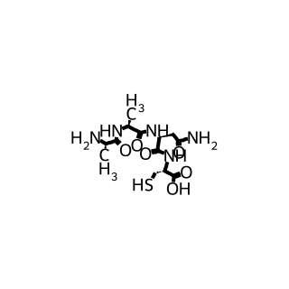 C[C@H](N)C(=O)N[C@@H](C)C(=O)N[C@@H](CC(N)=O)C(=O)N[C@@H](CS)C(=O)O